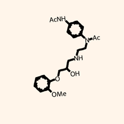 COc1ccccc1OCC(O)CNCCN(C(C)=O)c1ccc(NC(C)=O)cc1